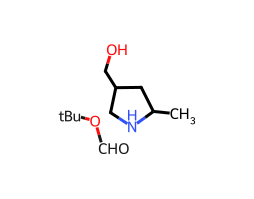 CC(C)(C)OC=O.CC1CC(CO)CN1